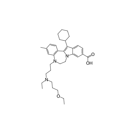 CCOCCCN(CC)CCCN1CCn2c(c(C3CCCCC3)c3ccc(C(=O)O)cc32)-c2ccc(C)cc21